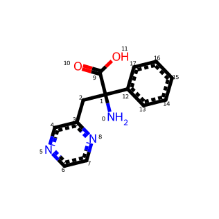 NC(Cc1cnccn1)(C(=O)O)c1ccccc1